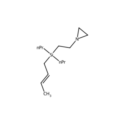 CC=CC[Si](CCC)(CCC)CCN1CC1